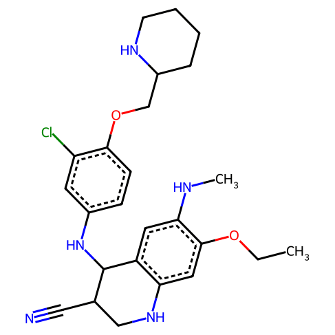 CCOc1cc2c(cc1NC)C(Nc1ccc(OCC3CCCCN3)c(Cl)c1)C(C#N)CN2